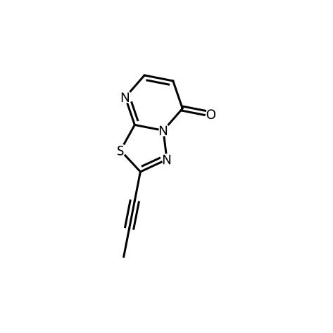 CC#Cc1nn2c(=O)ccnc2s1